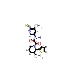 Cc1cc(NC(=O)C(=O)N2CCCC(C)C2c2cccs2)cnc1Br